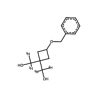 [2H]C([2H])(O)C1(C([2H])([2H])O)CC(OCc2ccccc2)C1